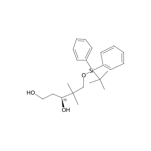 CC(C)(CO[Si](c1ccccc1)(c1ccccc1)C(C)(C)C)[C@@H](O)CCO